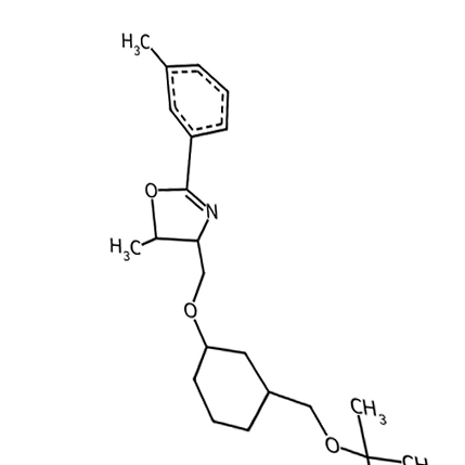 Cc1cccc(C2=NC(COC3CCCC(COC(C)(C)C(=O)O)C3)C(C)O2)c1